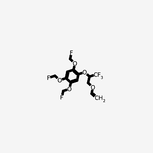 C=COCC(Oc1cc(OCF)c(OCF)cc1OCF)C(F)(F)F